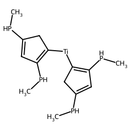 CPC1=CC(PC)=[C]([Ti][C]2=C(PC)C=C(PC)C2)C1